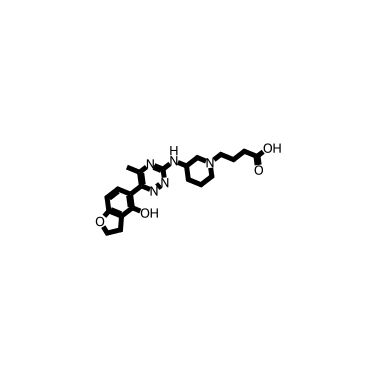 Cc1nc(NC2CCCN(CCCC(=O)O)C2)nnc1-c1ccc2c(c1O)CCO2